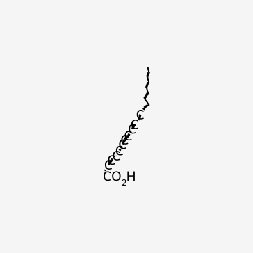 C/C=C/C=C/C=C/C=C=C=C=C=C=C=C=C=C=C=C=C=CC(=O)O